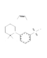 CC1(C)CCCCN1c1cccc(S(N)(=O)=O)c1.O=C(O)/C=C\C(=O)O